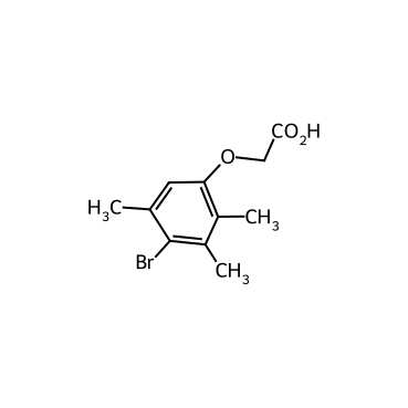 Cc1cc(OCC(=O)O)c(C)c(C)c1Br